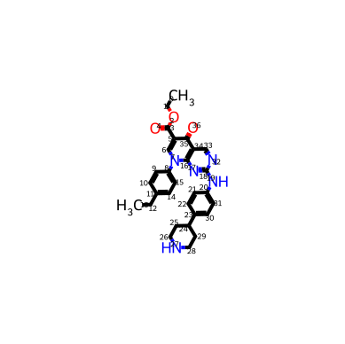 CCOC(=O)c1cn(-c2ccc(CC)cc2)c2nc(Nc3ccc(C4CCNCC4)cc3)ncc2c1=O